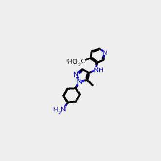 Cc1c(Nc2cnccc2C(=O)O)cnn1C1CCC(N)CC1